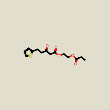 CCC(=O)OCCOC(=O)CC(=O)CCc1cccs1